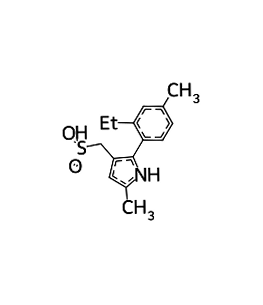 CCc1cc(C)ccc1-c1[nH]c(C)cc1C[SH](=O)=O